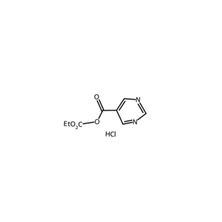 CCOC(=O)OC(=O)c1cncnc1.Cl